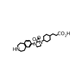 O=C(O)CCC1CCC(N2CCN(c3ccc4c(c3)CCNCC4)S2(=O)=O)CC1